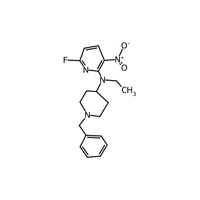 CCN(c1nc(F)ccc1[N+](=O)[O-])C1CCN(Cc2ccccc2)CC1